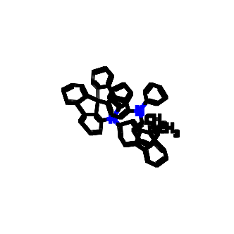 CC1(C)c2ccccc2-c2ccc(N(c3ccccc3)c3cccc4c3C3(c5ccccc5-c5cc(N(c6ccccc6)c6ccccc6)ccc53)c3ccccc3-4)cc21